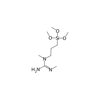 CN=C(N)N(C)CCC[Si](OC)(OC)OC